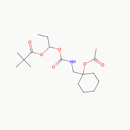 CCC(OC(=O)NCC1(OC(C)=O)CCCCC1)OC(=O)C(C)(C)C